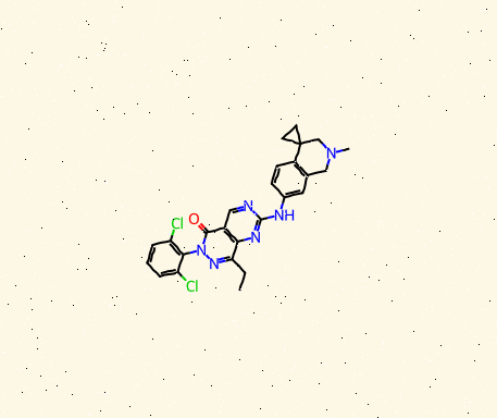 CCc1nn(-c2c(Cl)cccc2Cl)c(=O)c2cnc(Nc3ccc4c(c3)CN(C)CC43CC3)nc12